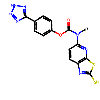 CCN(C(=O)Oc1ccc(-c2nn[nH]n2)cc1)c1ccc2nc(S)sc2n1